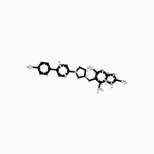 Cc1ccc(-c2cnc(N3CC[C@@H](Cc4c(C)nc5nc(C)nn5c4C)C3)cn2)cc1